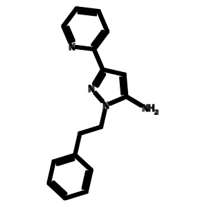 Nc1cc(-c2ccccn2)nn1CCc1ccccc1